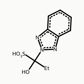 CCC(O)(n1nc2ccccc2n1)S(=O)(=O)O